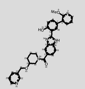 COc1ncccc1-c1ccc(O)c(-c2nc3cc(C(=O)N4CCCC(OCc5cccnc5)C4)ccc3[nH]2)c1